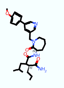 CCC[C@H](C(N)=O)C(CC(C)C)C(=O)N[C@H]1CCCCN(Cc2cncc(-c3ccc(OC)cc3)c2)C1=O